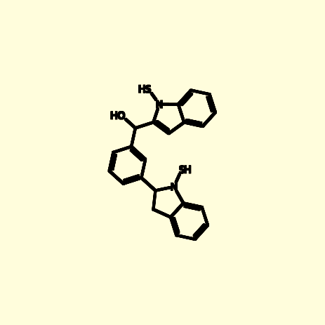 OC(c1cccc(C2Cc3ccccc3N2S)c1)c1cc2ccccc2n1S